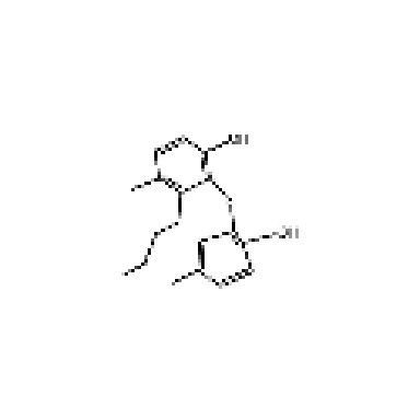 CCCCc1c(C)ccc(O)c1Sc1cc(C)ccc1O